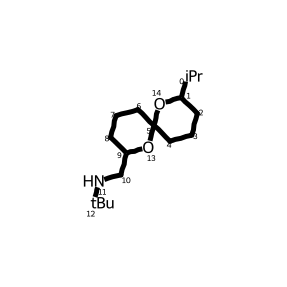 CC(C)C1CCCC2(CCCC(CNC(C)(C)C)O2)O1